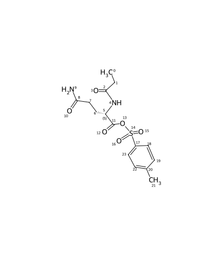 CCC(=O)N[C@@H](CCC(N)=O)C(=O)OS(=O)(=O)c1ccc(C)cc1